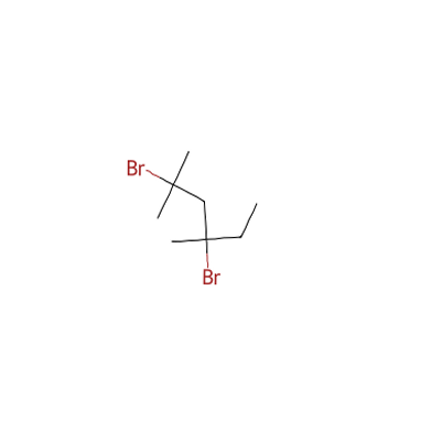 CCC(C)(Br)CC(C)(C)Br